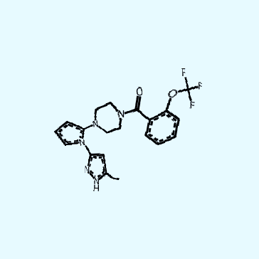 Cc1cc(-n2cccc2N2CCN(C(=O)c3ccccc3OC(F)(F)F)CC2)n[nH]1